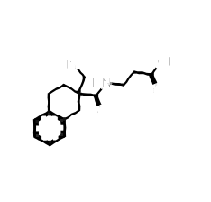 O=C(O)CCNC(=O)C1(CS)CCc2ccccc2C1